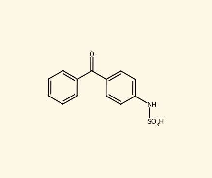 O=C(c1ccccc1)c1ccc(NS(=O)(=O)O)cc1